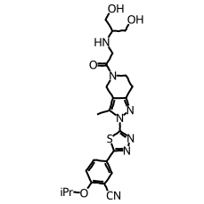 Cc1c2c(nn1-c1nnc(-c3ccc(OC(C)C)c(C#N)c3)s1)CCN(C(=O)CNC(CO)CO)C2